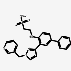 CNS(=O)(=O)CCNc1ccc(-c2ccccc2)cc1-c1ccn(Cc2cccnc2)n1